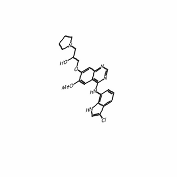 COc1cc2c(Nc3cccc4c(Cl)c[nH]c34)ncnc2cc1OCC(O)CN1CCCC1